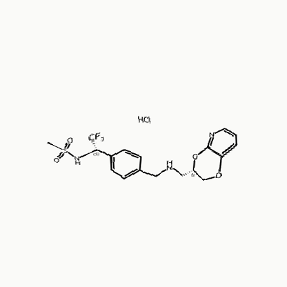 CS(=O)(=O)N[C@@H](c1ccc(CNC[C@H]2COc3cccnc3O2)cc1)C(F)(F)F.Cl